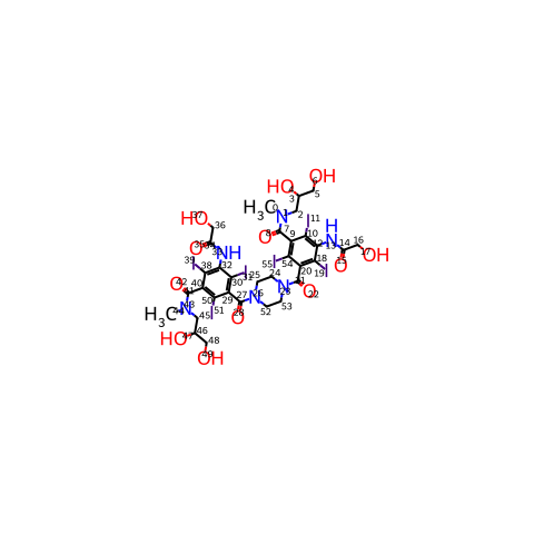 CN(CC(O)CO)C(=O)c1c(I)c(NC(=O)CO)c(I)c(C(=O)N2CCN(C(=O)c3c(I)c(NC(=O)CO)c(I)c(C(=O)N(C)CC(O)CO)c3I)CC2)c1I